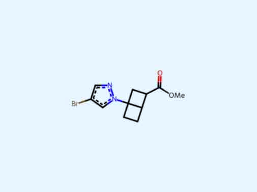 COC(=O)C1CC2(n3cc(Br)cn3)CCC12